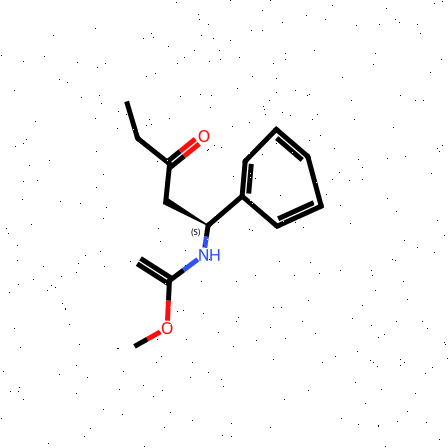 C=C(N[C@@H](CC(=O)CC)c1ccccc1)OC